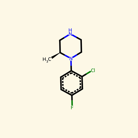 C[C@H]1CNCCN1c1ccc(F)cc1Cl